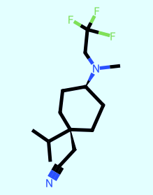 CC(C)[C@]1(CC#N)CC[C@@H](N(C)CC(F)(F)F)CC1